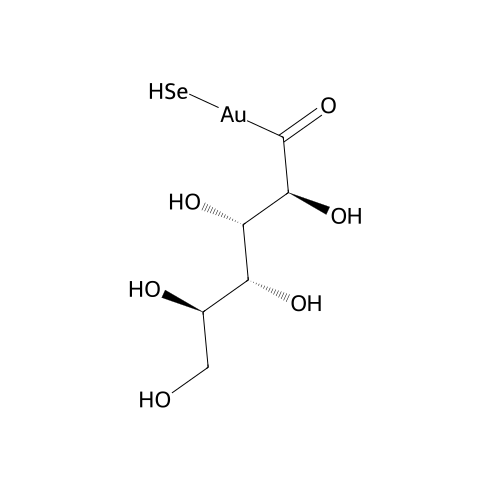 O=[C]([Au][SeH])[C@@H](O)[C@@H](O)[C@H](O)[C@H](O)CO